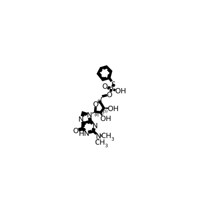 CN(C)c1nc2c(ncn2[C@@H]2O[C@H](COP(=O)(O)Sc3ccccc3)[C@@H](O)[C@H]2O)c(=O)[nH]1